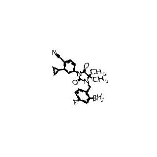 Bc1cc(F)ccc1CN1C(=O)N(c2ccc(C#N)c(C3CC3)c2)C(=O)C1(C)C